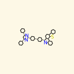 c1ccc(-c2cc(-c3ccccc3)nc(-c3ccc(-c4ccc(-c5nc6ccccc6c6c5ccc5c7ccccc7sc56)cc4)cc3)n2)cc1